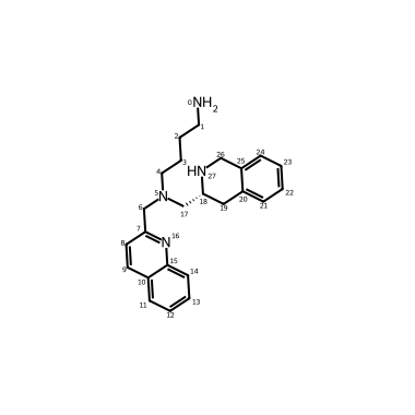 NCCCCN(Cc1ccc2ccccc2n1)C[C@H]1Cc2ccccc2CN1